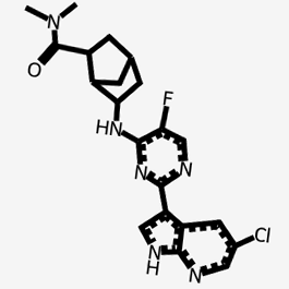 CN(C)C(=O)C1CC2CC(Nc3nc(-c4c[nH]c5ncc(Cl)cc45)ncc3F)C1C2